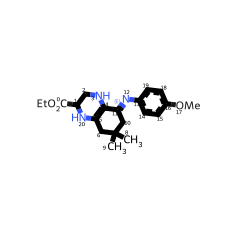 CCOC(=O)C1CNC2=C(CC(C)(C)C/C2=N\c2ccc(OC)cc2)N1